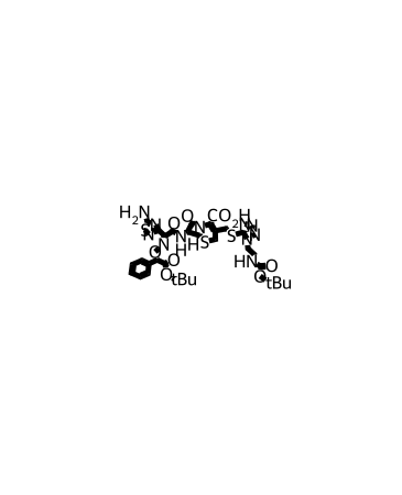 CC(C)(C)OC(=O)NCCn1nnnc1SCC1=C(C(=O)O)N2C(=O)C(NC(=O)C(=NOC(C(=O)OC(C)(C)C)c3ccccc3)c3nsc(N)n3)[C@@H]2SC1